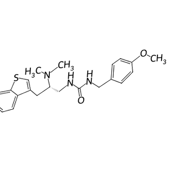 COc1ccc(CNC(=O)NC[C@H](Cc2csc3ccccc23)N(C)C)cc1